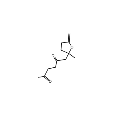 C=C1CCC(C)(CC(=O)CCC(C)=O)O1